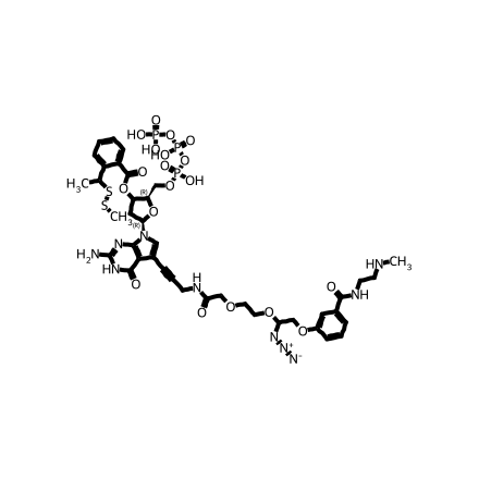 CNCCNC(=O)c1cccc(OCC(N=[N+]=[N-])OCCOCC(=O)NCC#Cc2cn([C@H]3CC(OC(=O)c4ccccc4C(C)SSC)[C@@H](COP(=O)(O)OP(=O)(O)OP(=O)(O)O)O3)c3nc(N)[nH]c(=O)c23)c1